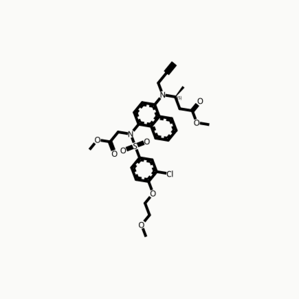 C#CCN(c1ccc(N(CC(=O)OC)S(=O)(=O)c2ccc(OCCOC)c(Cl)c2)c2ccccc12)[C@@H](C)CC(=O)OC